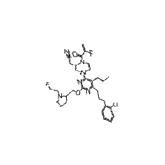 C=C(F)C(=O)N1CCN(c2nc(OCC3CCCN3CCF)nc(CCCc3ccccc3Cl)c2CCC)CC1CC#N